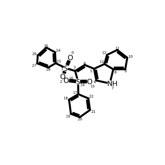 O=S(=O)(C(=Cc1c[nH]c2ccccc12)S(=O)(=O)c1ccccc1)c1ccccc1